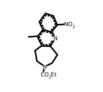 CCOC(=O)N1CCc2nc3c([N+](=O)[O-])cccc3c(C)c2CC1